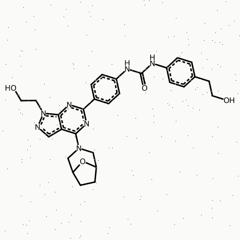 O=C(Nc1ccc(CCO)cc1)Nc1ccc(-c2nc(N3CC4CCC(C3)O4)c3cnn(CCO)c3n2)cc1